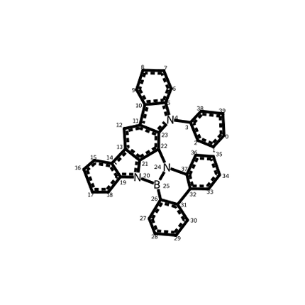 c1ccc(-n2c3ccccc3c3cc4c5ccccc5n5c4c(c32)N2B5c3ccccc3-c3ccccc32)cc1